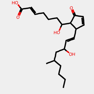 CCCCC(C)CC(O)C=CC1C=CC(=O)C1C(O)CCCC=CC(=O)O